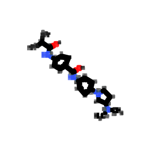 CCCC(CCC)C(=O)Nc1ccc(C(=O)Nc2ccc(N3CCC(N(C)C)C3)cc2)cc1